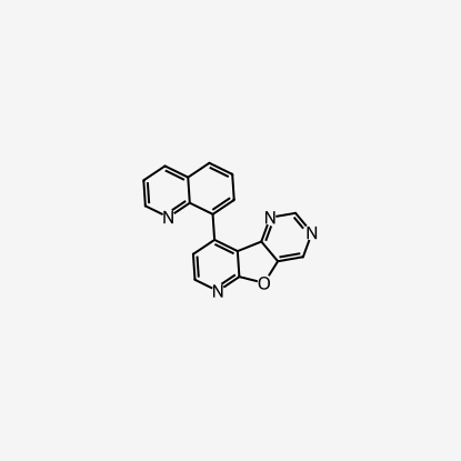 c1cnc2c(-c3ccnc4oc5cncnc5c34)cccc2c1